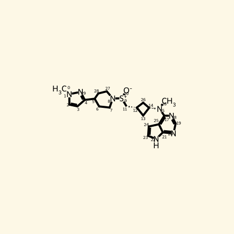 Cn1ccc(C2CCN([S+]([O-])C[C@H]3C[C@@H](N(C)c4ncnc5[nH]ccc45)C3)CC2)n1